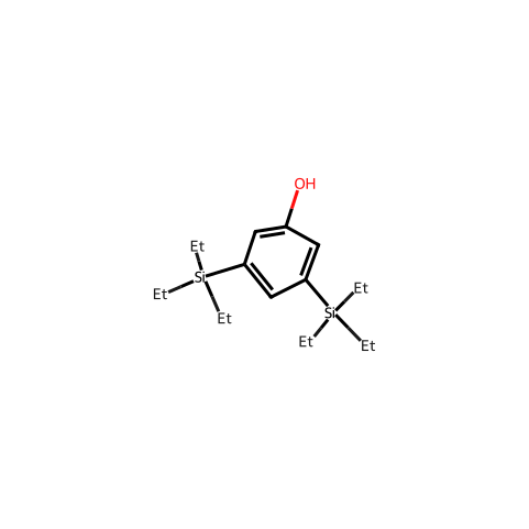 CC[Si](CC)(CC)c1cc(O)cc([Si](CC)(CC)CC)c1